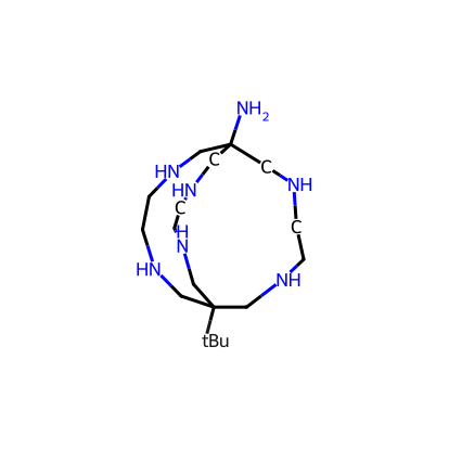 CC(C)(C)C12CNCCNCC(N)(CNCCNC1)CNCCNC2